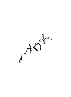 CS(=O)(=O)Oc1cccc(S(=O)(=O)CCCC#N)n1